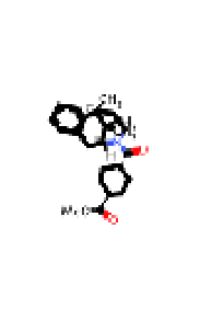 COC(=O)[C@H]1CC[C@H](C(=O)N2CC[C@@]3(C)c4ccccc4C[C@@H]2C3(C)C)CC1